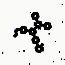 C=C/C=C\c1ccc(-c2cc(-c3ccc(-c4cccnc4C)cc3)cc(-c3nc(-c4ccccc4)cc(-c4ccccc4)n3)c2)cc1